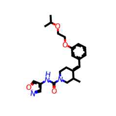 CC(C)OCCOc1cccc(C=C2CCN(C(=O)Nc3cnoc3)CC2C)c1